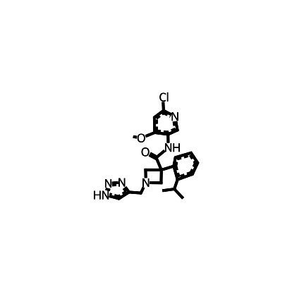 COc1cc(Cl)ncc1NC(=O)C1(c2ccccc2C(C)C)CN(Cc2c[nH]nn2)C1